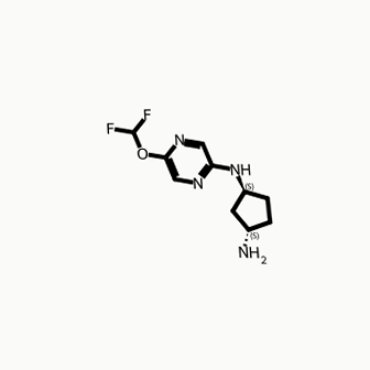 N[C@H]1CC[C@H](Nc2cnc(OC(F)F)cn2)C1